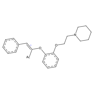 CC(=O)/C(=C\c1ccccc1)Oc1ccccc1OCCN1CCCCC1